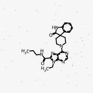 CCCNC(=O)c1nc2c(N3CCC4(CC3)C(=O)Nc3ccccc34)ncnc2n1CC